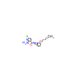 CCCCCCOc1cccc(CNC(=O)c2ccc(F)nc2N)c1